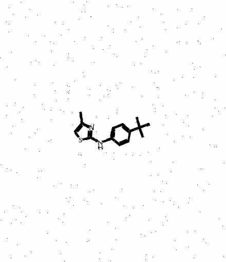 Cc1csc(Nc2ccc(C(C)(C)C)cc2)n1